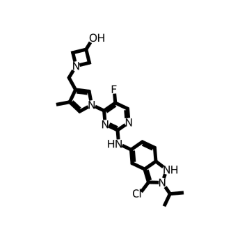 Cc1cn(-c2nc(NC3=CC4=C(Cl)N(C(C)C)NC4C=C3)ncc2F)cc1CN1CC(O)C1